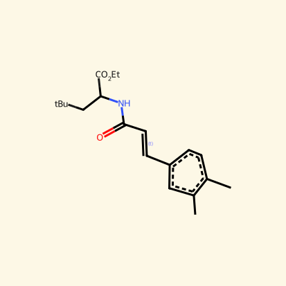 CCOC(=O)C(CC(C)(C)C)NC(=O)/C=C/c1ccc(C)c(C)c1